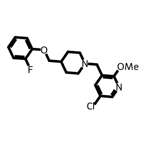 COc1ncc(Cl)cc1CN1CCC(COc2ccccc2F)CC1